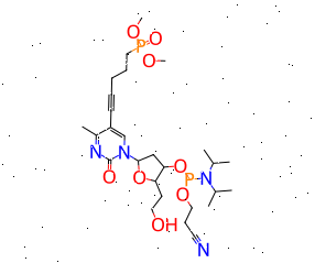 COP(=O)(CCCC#Cc1cn(C2CC(OP(OCCC#N)N(C(C)C)C(C)C)C(CCO)O2)c(=O)nc1C)OC